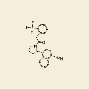 N#Cc1ccc(N2CCCN2C(=O)Cc2ccccc2C(F)(F)F)c2ccccc12